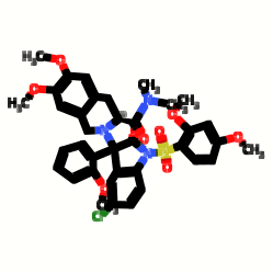 COc1ccc(S(=O)(=O)N2C(=O)C(c3ccccc3OC)(N3Cc4cc(OC)c(OC)cc4C[C@H]3C(=O)N(C)C)c3cc(Cl)ccc32)c(OC)c1